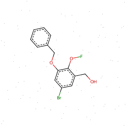 OCc1cc(Br)cc(OCc2ccccc2)c1OF